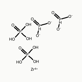 O=P(O)(O)O.O=P(O)(O)O.O=[PH]([O-])[O-].O=[PH]([O-])[O-].[Zr+4]